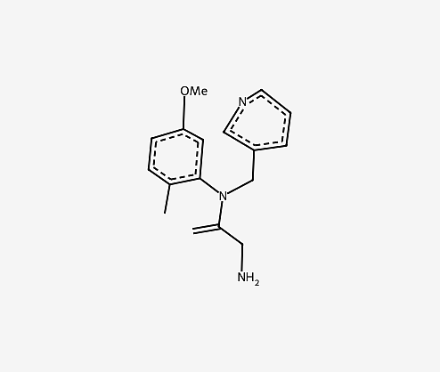 C=C(CN)N(Cc1cccnc1)c1cc(OC)ccc1C